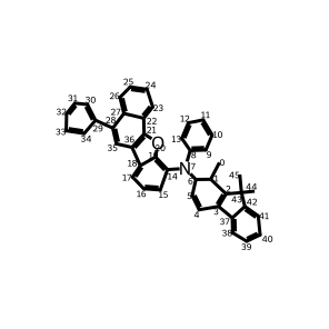 CC1C2=C(C=CC1N(c1ccccc1)c1cccc3c1oc1c4ccccc4c(-c4ccccc4)cc31)c1ccccc1C2(C)C